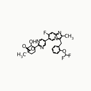 Cc1nc2cc(F)c(-c3cnc(C45CC[C@@](C)(CC4O)C(=O)O5)nc3)cn2c1Cc1ccccc1OC(F)F